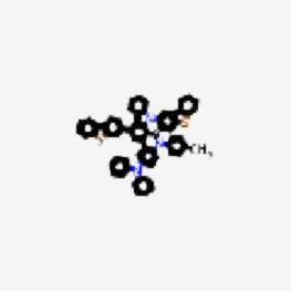 Cc1ccc(N2B3c4cc5sc6ccccc6c5cc4-n4c5ccccc5c5c(-c6ccc7c(c6)sc6ccccc67)cc(c3c54)-c3cc(N(c4ccccc4)c4ccccc4)ccc32)cc1